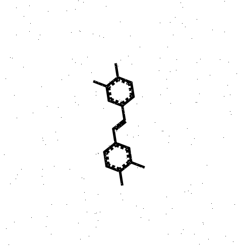 Cc1ccc(C=Cc2ccc(C)c(C)c2)cc1C